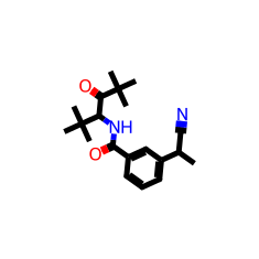 CC(C#N)c1cccc(C(=O)NC(C(=O)C(C)(C)C)C(C)(C)C)c1